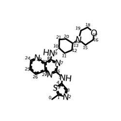 Cc1ncc(Nc2nc(N[C@H]3CC[C@H](N4CCOCC4)CC3)c3ncccc3n2)s1